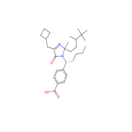 CCCC[C@H](c1ccc(C(=O)O)cc1)N1C(=O)C(CC2CCC2)=NC1(C)CCC(C)C(C)(C)C